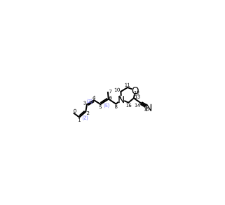 C\C=C/C=C\C=C(/C)CN1CCOC(C#N)C1